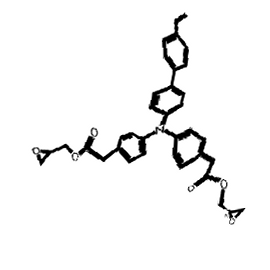 CCc1ccc(-c2ccc(N(c3ccc(CC(=O)OCC4CO4)cc3)c3ccc(CC(=O)OC[C@H]4CO4)cc3)cc2)cc1